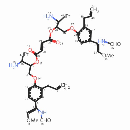 C=CCc1cc(C(=COC)NC=O)ccc1OCC(OC(=O)/C=C/C(=O)OC(COc1ccc(C(=COC)NC=O)cc1CC=C)C(N)C(C)C)C(N)C(C)C